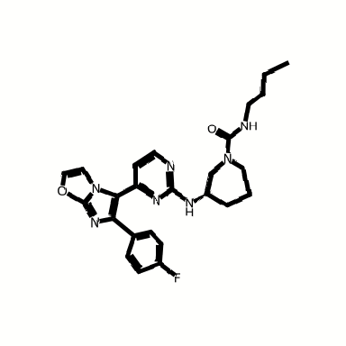 CCCCNC(=O)N1CCC[C@@H](Nc2nccc(-c3c(-c4ccc(F)cc4)nc4occn34)n2)C1